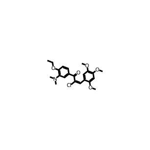 CCOc1ccc(C(=O)/C(Cl)=C\c2cc(OC)c(OC)cc2OC)cc1N(C)C